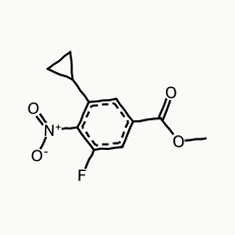 COC(=O)c1cc(F)c([N+](=O)[O-])c(C2CC2)c1